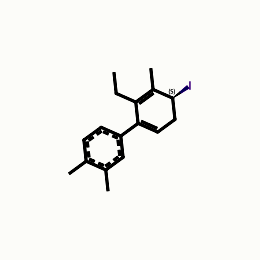 CCC1=C(C)[C@@H](I)CC=C1c1ccc(C)c(C)c1